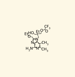 CCOCc1nc2c(N)nc(C)c(C)c2n1CC(CC)(CO)COC(=O)C(F)(F)F